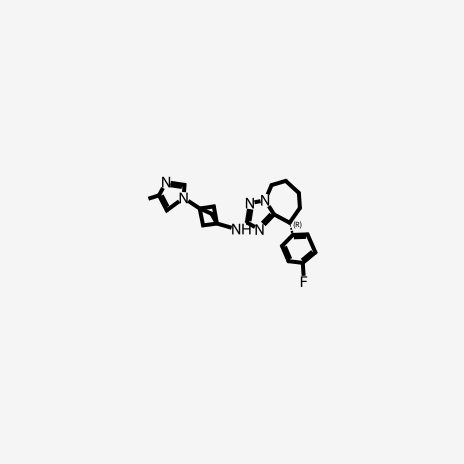 Cc1cn(C23CC(Nc4nc5n(n4)CCCC[C@@H]5c4ccc(F)cc4)(C2)C3)cn1